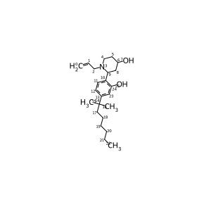 C=CCN1CCC(O)CC1c1ccc(C(C)(C)CCCCCC)cc1O